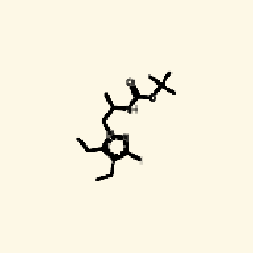 CCc1c(I)nn(CC(C)NC(=O)OC(C)(C)C)c1CC